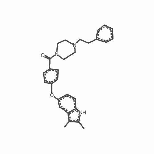 Cc1[nH]c2ccc(Oc3ccc(C(=O)N4CCN(CCc5ccccc5)CC4)cc3)cc2c1C